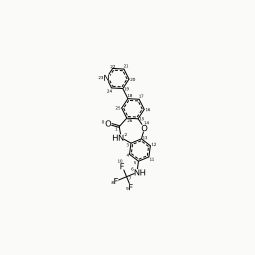 O=C1Nc2cc(NC(F)(F)F)ccc2Oc2ccc(-c3cccnc3)cc21